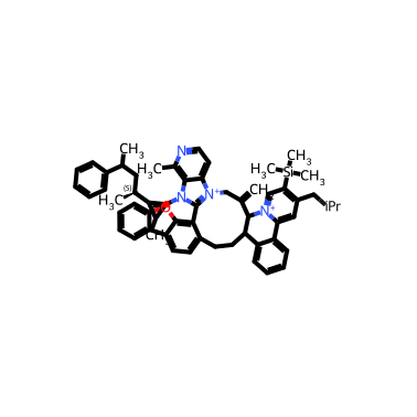 C=C1C[n+]2c(n(C3=C([C@@H](C)CC(C)c4ccccc4)C3C)c3c(C)nccc32)-c2c(ccc3c2oc2ccccc23)CCC2c3ccccc3-c3cc(CC(C)C)c([Si](C)(C)C)c[n+]3C12